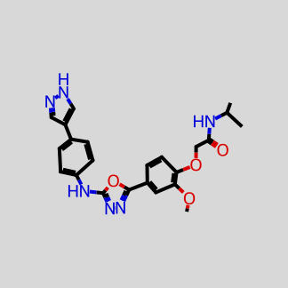 COc1cc(-c2nnc(Nc3ccc(-c4cn[nH]c4)cc3)o2)ccc1OCC(=O)NC(C)C